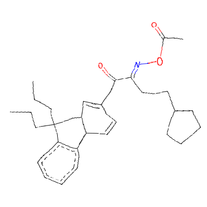 CCCC1(CCC)c2ccccc2C2C=CC(C(=O)/C(CCC3CCCC3)=N/OC(C)=O)=CC21